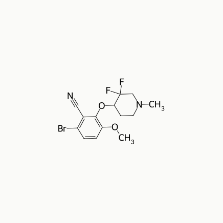 COc1ccc(Br)c(C#N)c1OC1CCN(C)CC1(F)F